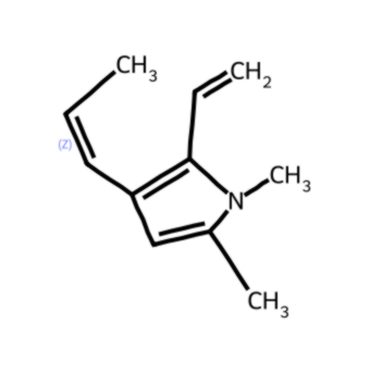 C=Cc1c(/C=C\C)cc(C)n1C